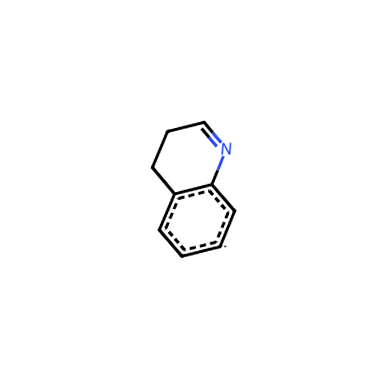 [c]1ccc2c(c1)N=CCC2